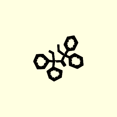 C=C([N+](CC)(c1ccccc1)c1ccccc1)[N+](CC)(c1ccccc1)c1ccccc1